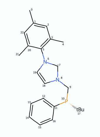 Cc1cc(C)c(N2[C]N(C[P@@](c3ccccc3)C(C)(C)C)C=C2)c(C)c1